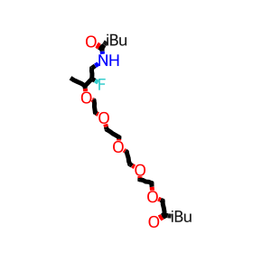 CCC(C)C(=O)COCCOCCOCCOCCOC(C)C(F)CNC(=O)C(C)CC